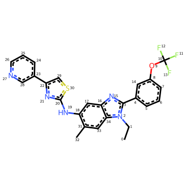 CCn1c(-c2cccc(OC(F)(F)F)c2)nc2cc(Nc3nc(-c4cccnc4)cs3)c(C)cc21